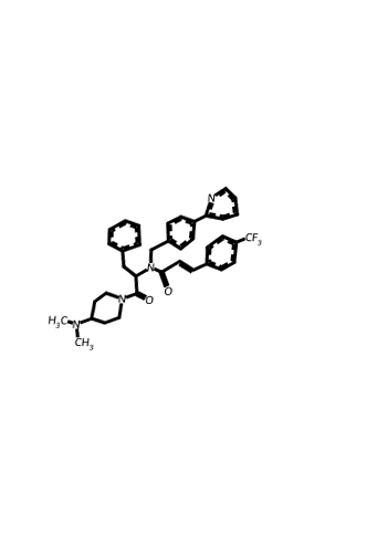 CN(C)C1CCN(C(=O)C(Cc2ccccc2)N(Cc2ccc(-c3ccccn3)cc2)C(=O)C=Cc2ccc(C(F)(F)F)cc2)CC1